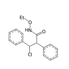 CCONC(=O)C(c1ccccc1)C(Cl)c1ccccc1